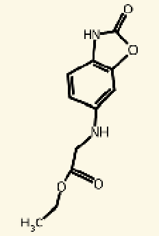 CCOC(=O)CNc1ccc2[nH]c(=O)oc2c1